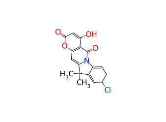 CC1(C)C2=CC(Cl)CC=C2n2c1cc1oc(=O)cc(O)c1c2=O